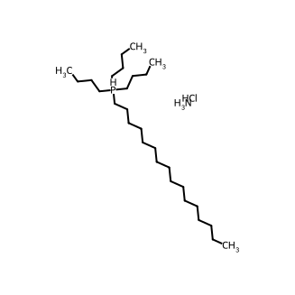 CCCCCCCCCCCCCCCC[PH](CCCC)(CCCC)CCCC.Cl.N